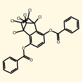 O=C(Oc1ccc(OC(=O)c2ccccc2)c2c1C1(Cl)C(Cl)=C(Cl)C2(Cl)C1(Cl)Cl)c1ccccc1